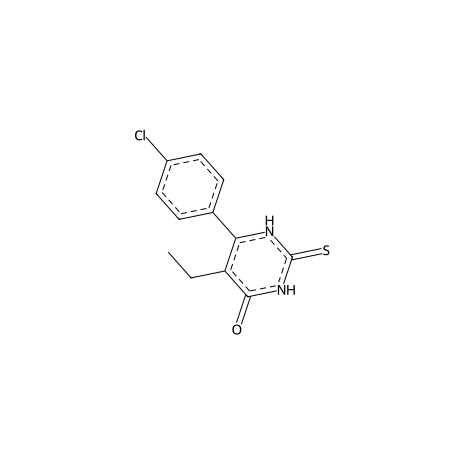 CCc1c(-c2ccc(Cl)cc2)[nH]c(=S)[nH]c1=O